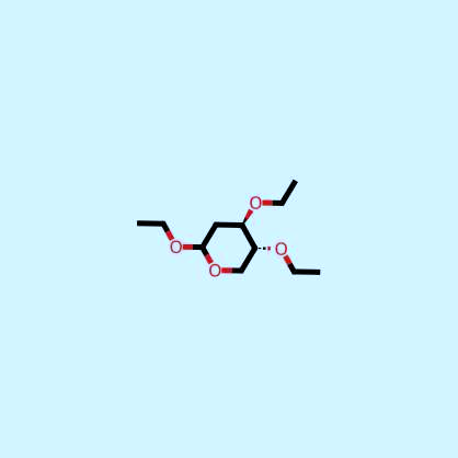 CCOC1C[C@@H](OCC)[C@H](OCC)CO1